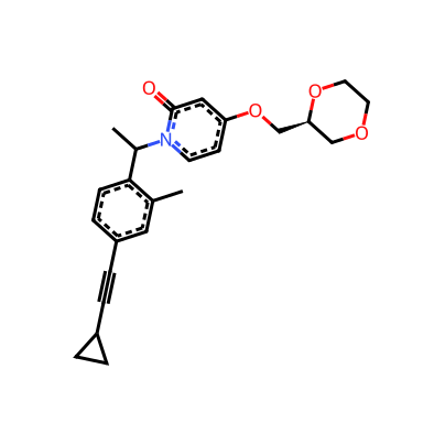 Cc1cc(C#CC2CC2)ccc1C(C)n1ccc(OC[C@@H]2COCCO2)cc1=O